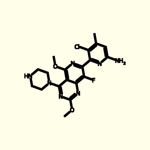 COc1nc(N2CCNCC2)c2c(OC)nc(-c3nc(N)cc(C)c3Cl)c(F)c2n1